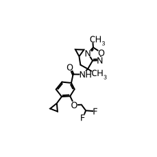 Cc1nc(C(C)(CC2CC2)NC(=O)c2ccc(C3CC3)c(OCC(F)F)c2)no1